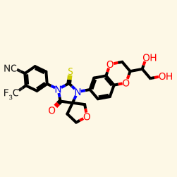 N#Cc1ccc(N2C(=O)C3(CCOC3)N(c3ccc4c(c3)OCC(C(O)CO)O4)C2=S)cc1C(F)(F)F